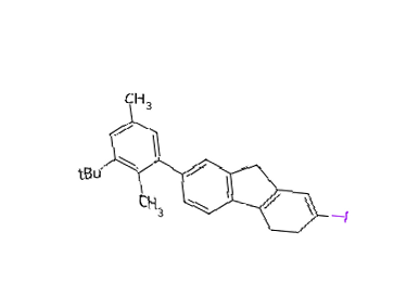 Cc1cc(-c2ccc3c(c2)CC2=C3CCC(I)=C2)c(C)c(C(C)(C)C)c1